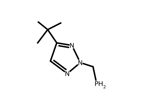 CC(C)(C)c1cnn(CP)n1